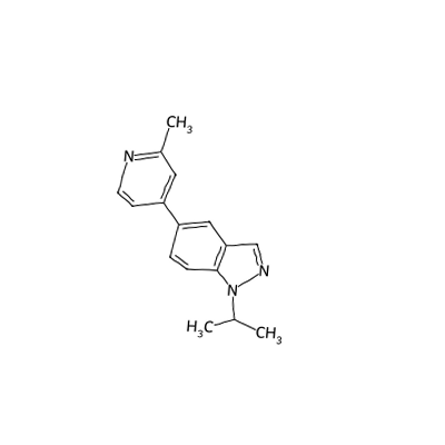 Cc1cc(-c2ccc3c(cnn3C(C)C)c2)ccn1